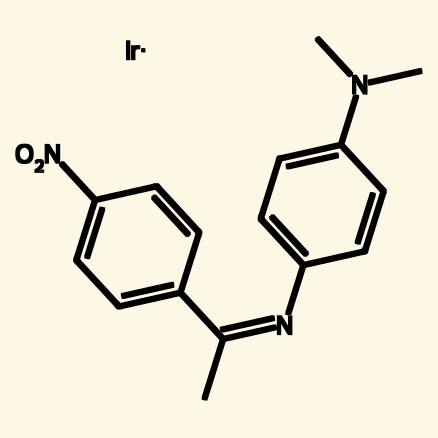 CC(=Nc1ccc(N(C)C)cc1)c1ccc([N+](=O)[O-])cc1.[Ir]